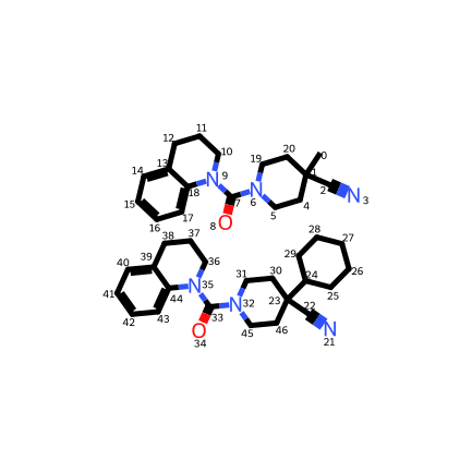 CC1(C#N)CCN(C(=O)N2CCCc3ccccc32)CC1.N#CC1(C2CCCCC2)CCN(C(=O)N2CCCc3ccccc32)CC1